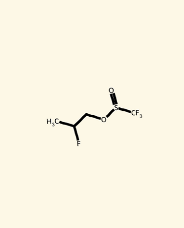 CC(F)COS(=O)C(F)(F)F